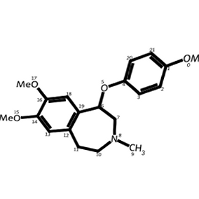 COc1ccc(OC2CN(C)CCc3cc(OC)c(OC)cc32)cc1